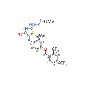 COCCNC1=NC(=O)C(=Cc2ccc(OCc3ccc(C(F)(F)F)cc3C(F)(F)F)cc2OC)S1